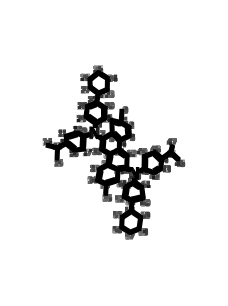 Cc1ccc2c(c1)c(N(c1ccc(C(C)C)cc1)c1ccc(C3CCCCC3)cc1)cc1c3ccc(C)cc3c(N(c3ccc(C(C)C)cc3)c3ccc(C4CCCCC4)cc3)cc21